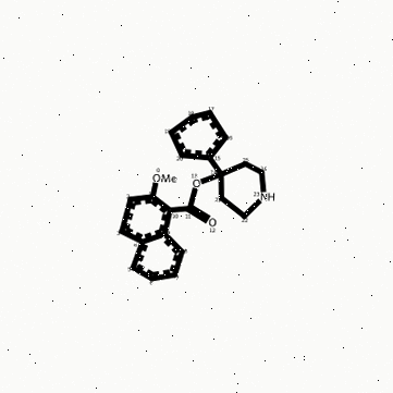 COc1ccc2ccccc2c1C(=O)OC1(c2ccccc2)CCNCC1